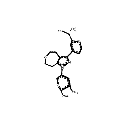 COc1ncc(-n2nc(-c3ccnc([C@@H](C)O)c3)c3c2CCOCC3)cc1C